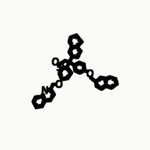 O=C(S)CC(c1ccc(OCc2ccc3ccccc3c2)cc1)(c1ccc(OCc2ccc3ccccc3n2)cc1)c1ccc2ccccc2c1